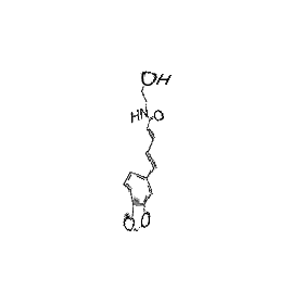 O=C(/C=C/C=C/c1ccc2c(c1)OCO2)NCCO